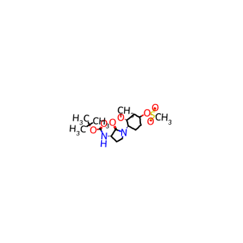 CO[C@@H]1CC(OS(C)(=O)=O)CC[C@@H]1N1CC[C@H](NC(=O)OC(C)(C)C)C1=O